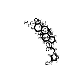 CCc1cnn(CC(=O)[C@H]2CC[C@H]3[C@@H]4CC[C@H]5C[C@](C)(O)CC[C@]5(C)[C@H]4CC[C@]23C)c1